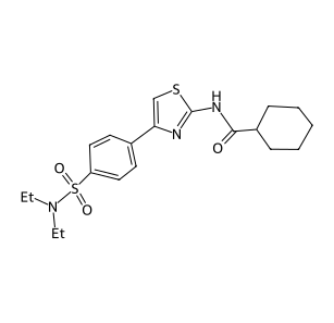 CCN(CC)S(=O)(=O)c1ccc(-c2csc(NC(=O)C3CCCCC3)n2)cc1